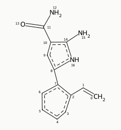 C=Cc1ccccc1-c1cc(C(N)=O)c(N)[nH]1